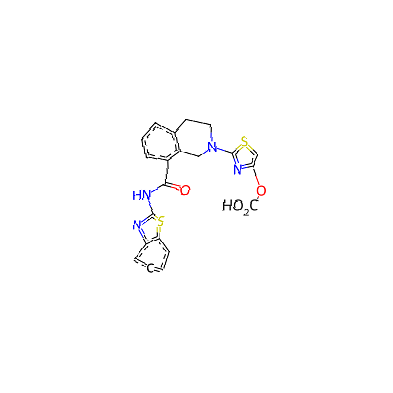 O=C(O)Oc1csc(N2CCc3cccc(C(=O)Nc4nc5ccccc5s4)c3C2)n1